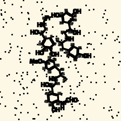 CC(C)NCC(O)c1ccc(O)c(O)c1.CC(Cc1ccc(O)cc1)NCC(O)c1cc(O)cc(O)c1.COc1ccc(C[C@@H](C)NC[C@H](O)c2ccc(O)c(NC=O)c2)cc1